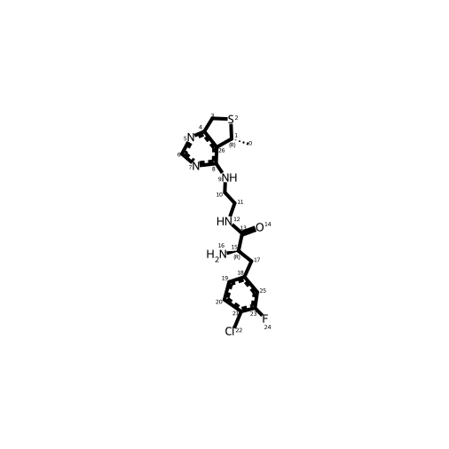 C[C@H]1SCc2ncnc(NCCNC(=O)[C@H](N)Cc3ccc(Cl)c(F)c3)c21